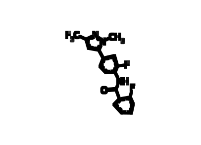 Cn1nc(C(F)(F)F)cc1-c1ccc(NC(=O)c2ccccc2F)c(F)c1